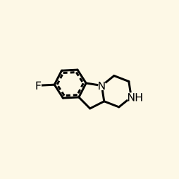 Fc1ccc2c(c1)CC1CNCCN21